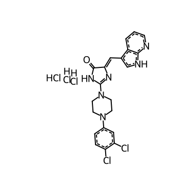 Cl.Cl.Cl.O=C1NC(N2CCN(c3ccc(Cl)c(Cl)c3)CC2)=NC1=Cc1c[nH]c2ncccc12